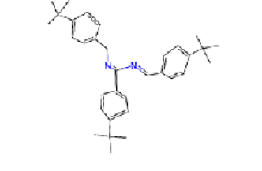 CC(C)(C)c1ccc(/C=N/C(=N\Cc2ccc(C(C)(C)C)cc2)c2ccc(C(C)(C)C)cc2)cc1